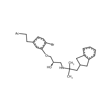 CC(=O)CCc1ccc(Br)c(OC[C@H](O)CNC(C)(C)CC2Cc3ccccc3C2)c1